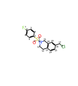 O=S(=O)(c1ccc(F)cc1)N1CCc2ccc(CCl)cc2C1